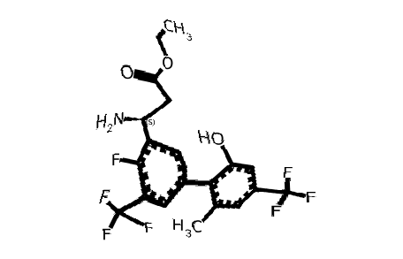 CCOC(=O)C[C@H](N)c1cc(-c2c(C)cc(C(F)(F)F)cc2O)cc(C(F)(F)F)c1F